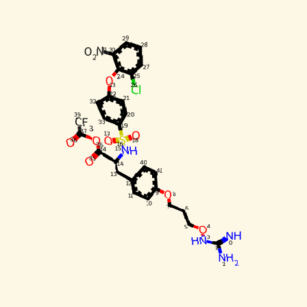 N=C(N)NOCCCOc1ccc(C[C@H](NS(=O)(=O)c2ccc(Oc3c(Cl)cccc3[N+](=O)[O-])cc2)C(=O)OC(=O)C(F)(F)F)cc1